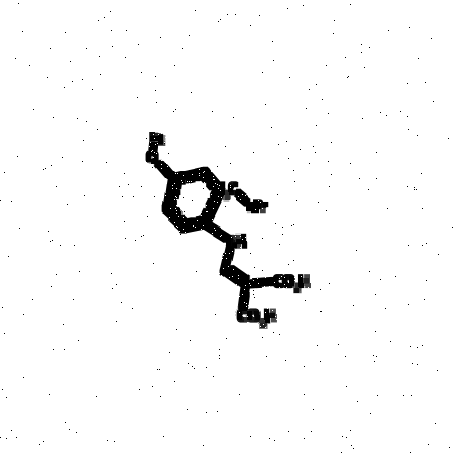 CCCC.CCOc1ccc(NC=C(C(=O)O)C(=O)O)cc1